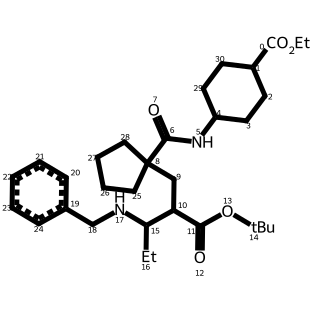 CCOC(=O)C1CCC(NC(=O)C2(CC(C(=O)OC(C)(C)C)C(CC)NCc3ccccc3)CCCC2)CC1